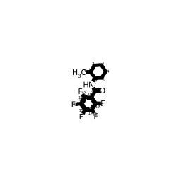 CC1CCCCC1NC(=O)c1c(F)c(F)c(F)c(F)c1F